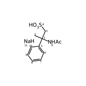 CC(=O)NC(C)(CS(=O)(=O)O)c1ccccc1.[NaH]